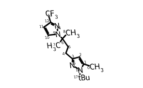 Cc1cc(CCC(C)(C)n2ccc(C(F)(F)F)n2)nn1C(C)(C)C